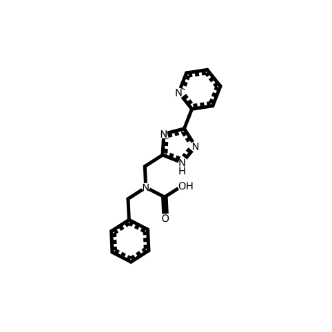 O=C(O)N(Cc1ccccc1)Cc1nc(-c2ccccn2)n[nH]1